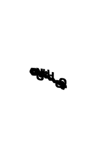 C=C(C)C(=O)OCCCCCCNC(=O)Nc1ccccc1